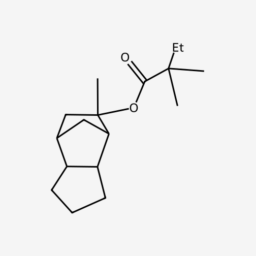 CCC(C)(C)C(=O)OC1(C)CC2CC1C1CCCC21